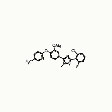 COc1cc(-c2nc(-c3c(F)cccc3Cl)nn2C)ccc1Oc1ccc(C(F)(F)F)cn1